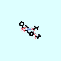 CC(CN[C@@H](Cc1ccc(OC(=O)C(C)C(C)C)c(OC(=O)C(C)C(C)C)c1)C(=O)O)OC(=O)C1CCCCC1